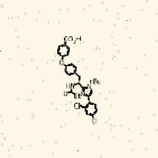 CCCCn1cc(-c2ccc(Cl)cc2Cl)nc1[C@H](Cc1ccc(Oc2ccc(C(=O)O)cc2)cc1)NC(=O)CC